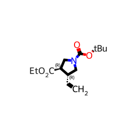 C=C[C@H]1CN(C(=O)OC(C)(C)C)C[C@@H]1C(=O)OCC